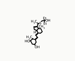 C=C1C(=CC=C2CCC[C@]3(C)C([C@@H](C)SCC(O)(CC)CC)=CC[C@@H]23)C[C@@H](O)C[C@@H]1O